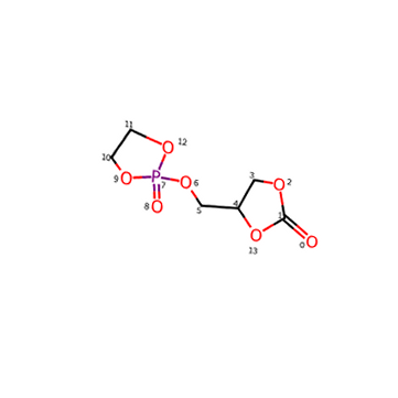 O=C1OCC(COP2(=O)OCCO2)O1